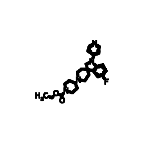 CCOC(=O)N1CCC(N2CCC3(CC2)CN(c2ccncc2)c2ccc(F)cc23)CC1